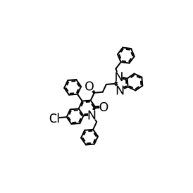 O=C(CCc1nc2ccccc2n1Cc1ccccc1)c1c(-c2ccccc2)c2cc(Cl)ccc2n(Cc2ccccc2)c1=O